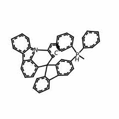 C[PH](c1ccccc1)(c1ccccc1)c1ccc2c(c1)C1(c3ccccc3-2)c2ccccc2-n2c3ccccc3c3cccc1c32